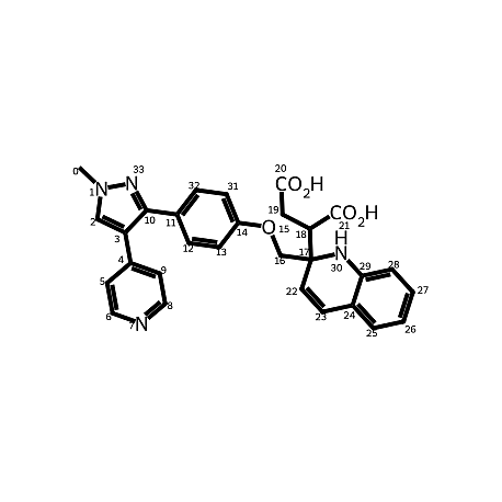 Cn1cc(-c2ccncc2)c(-c2ccc(OCC3(C(CC(=O)O)C(=O)O)C=Cc4ccccc4N3)cc2)n1